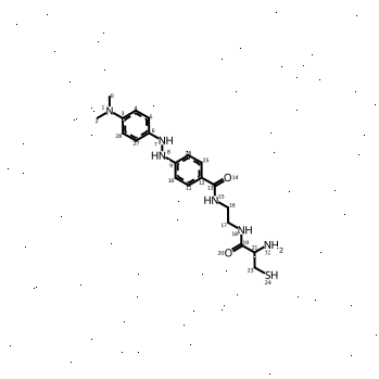 CN(C)c1ccc(NNc2ccc(C(=O)NCCNC(=O)C(N)CS)cc2)cc1